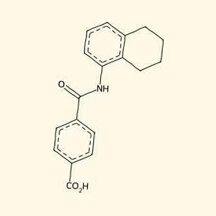 O=C(O)c1ccc(C(=O)Nc2cccc3c2CCCC3)cc1